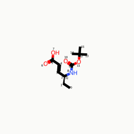 CC[C@@H](C=CC(=O)O)NC(=O)OC(C)(C)C